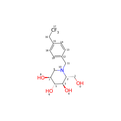 OC[C@@H]1[C@@H](O)[C@H](O)[C@@H](O)CN1Cc1ccc(CC(F)(F)F)cc1